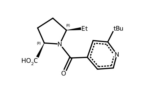 CC[C@@H]1CC[C@H](C(=O)O)N1C(=O)c1ccnc(C(C)(C)C)c1